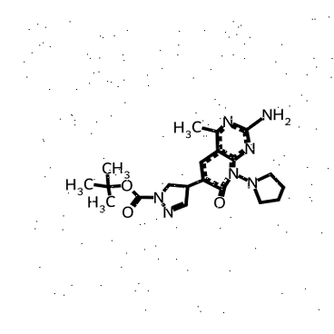 Cc1nc(N)nc2c1cc(C1C=NN(C(=O)OC(C)(C)C)C1)c(=O)n2N1CCCC1